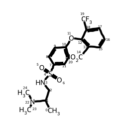 CC(CNS(=O)(=O)c1ccc(Oc2c(C(=O)O)cccc2C(F)(F)F)cc1)N(C)C